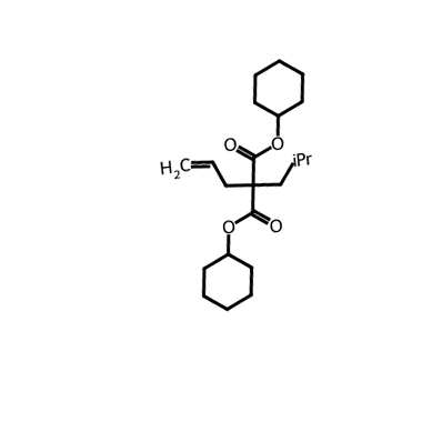 C=CCC(CC(C)C)(C(=O)OC1CCCCC1)C(=O)OC1CCCCC1